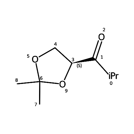 CC(C)C(=O)[C@@H]1COC(C)(C)O1